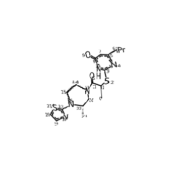 CC(Sc1nc(C(C)C)cc(=O)[nH]1)C(=O)N1CCN(c2nccs2)[C@@H](C)C1